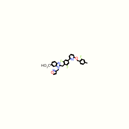 Cc1ccc(COc2cccc(-c3cc(F)c(Cc4nc5ccc(C(=O)O)cc5n4Cc4ccon4)c(F)c3)n2)c(F)c1